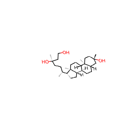 C[C@H](CC[C@@](C)(O)CCO)[C@H]1CC[C@H]2[C@@H]3CC[C@H]4C[C@@](C)(O)CC[C@]4(C)[C@H]3CC[C@]12C